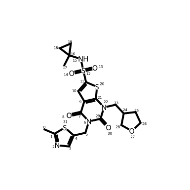 Cc1ncc(Cn2c(=O)c3cc(S(=O)(=O)NC4(C)CC4)sc3n(CC3CCOC3)c2=O)s1